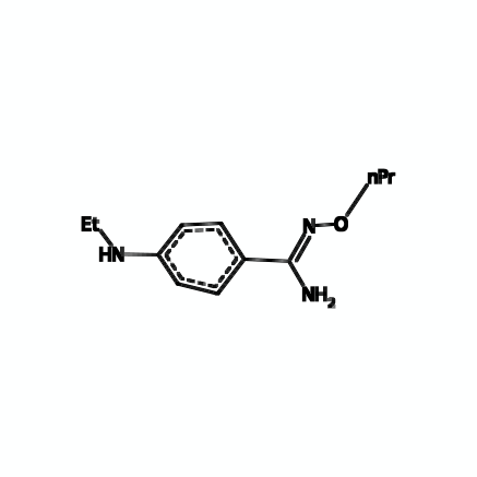 CCCON=C(N)c1ccc(NCC)cc1